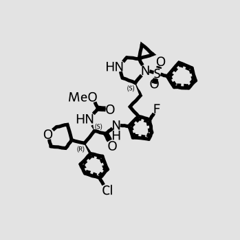 COC(=O)N[C@H](C(=O)Nc1cccc(F)c1CC[C@H]1CNCC2(CC2)N1S(=O)(=O)c1ccccc1)[C@@H](c1ccc(Cl)cc1)C1CCOCC1